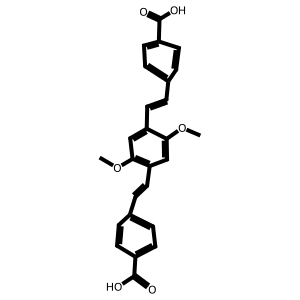 COc1cc(/C=C/c2ccc(C(=O)O)cc2)c(OC)cc1/C=C/c1ccc(C(=O)O)cc1